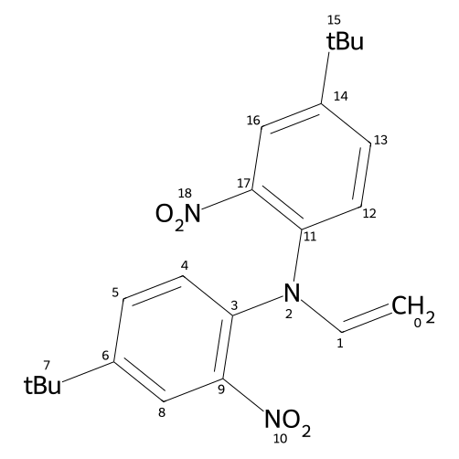 C=CN(c1ccc(C(C)(C)C)cc1[N+](=O)[O-])c1ccc(C(C)(C)C)cc1[N+](=O)[O-]